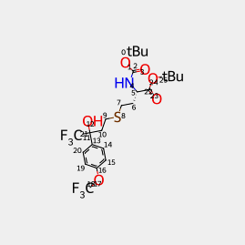 CC(C)(C)OC(=O)N[C@@H](CCSCCC(O)(c1ccc(OC(F)(F)F)cc1)C(F)(F)F)C(=O)OC(C)(C)C